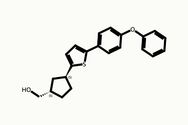 OC[C@H]1CC[C@H](c2ccc(-c3ccc(Oc4ccccc4)cc3)s2)C1